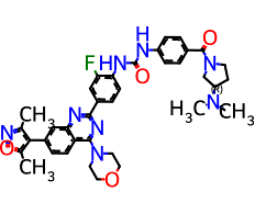 Cc1noc(C)c1-c1ccc2c(N3CCOCC3)nc(-c3ccc(NC(=O)Nc4ccc(C(=O)N5CC[C@@H](N(C)C)C5)cc4)c(F)c3)nc2c1